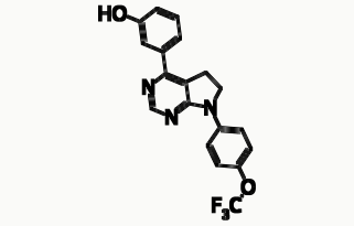 Oc1cccc(-c2ncnc3c2CCN3c2ccc(OC(F)(F)F)cc2)c1